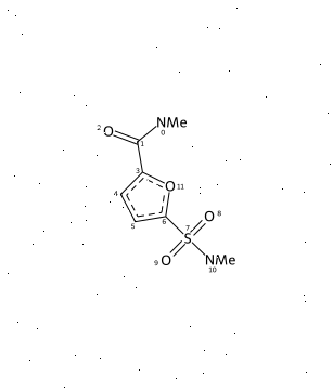 CNC(=O)c1ccc(S(=O)(=O)NC)o1